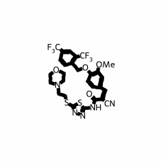 COc1cc(C=C(C#N)C(=O)Nc2nnc(SCCN3CCOCC3)s2)ccc1OCc1ccc(C(F)(F)F)cc1C(F)(F)F